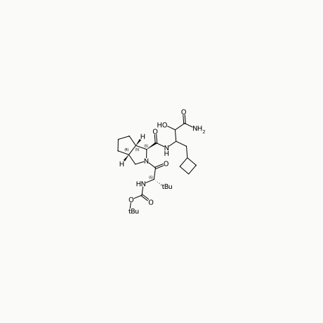 CC(C)(C)OC(=O)N[C@H](C(=O)N1C[C@@H]2CCC[C@@H]2[C@H]1C(=O)NC(CC1CCC1)C(O)C(N)=O)C(C)(C)C